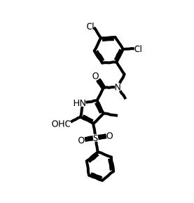 Cc1c(C(=O)N(C)Cc2ccc(Cl)cc2Cl)[nH]c(C=O)c1S(=O)(=O)c1ccccc1